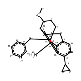 COC1CCC2(CC1)Cc1ccc(C3CC3)cc1C21N=C(N)N(Cc2cccnc2)C1=O